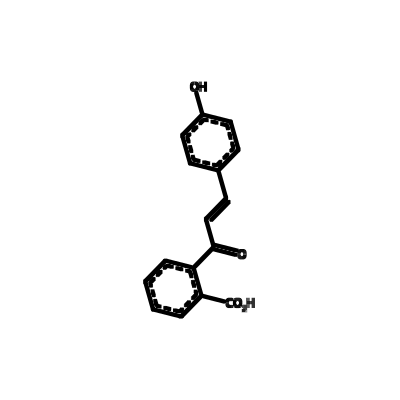 O=C(O)c1ccccc1C(=O)C=Cc1ccc(O)cc1